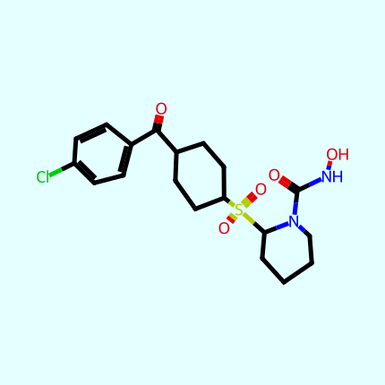 O=C(c1ccc(Cl)cc1)C1CCC(S(=O)(=O)C2CCCCN2C(=O)NO)CC1